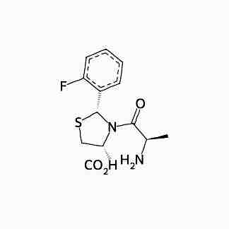 C[C@@H](N)C(=O)N1[C@@H](c2ccccc2F)SC[C@H]1C(=O)O